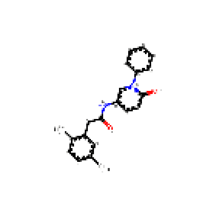 Cc1ccc(C)c(CC(=O)Nc2ccc(=O)n(-c3ccccc3)c2)c1